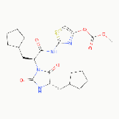 COC(=O)Oc1csc(NC(=O)[C@H](CC2CCCC2)N2C(=O)N[C@@H](CC3CCCC3)C2=O)n1